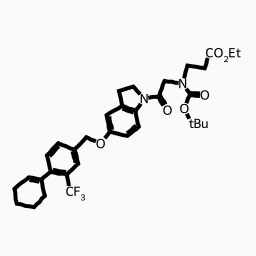 CCOC(=O)CCN(CC(=O)N1CCc2cc(OCc3ccc(C4=CCCCC4)c(C(F)(F)F)c3)ccc21)C(=O)OC(C)(C)C